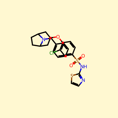 O=S(=O)(Nc1nccs1)c1ccc(OC2CC3CCC(C2)N3Cc2ccccc2)c(Cl)c1